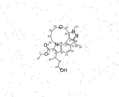 CCOC(=O)c1c(C(C)CCO)c2ccc(C)c3c2n1CCCCOCc1c-3c(CC)nn1C